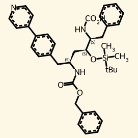 CC(C)(C)[Si](C)(C)O[C@@H](C[C@H](Cc1ccc(-c2ccncc2)cc1)NC(=O)OCc1ccccc1)[C@H](Cc1ccccc1)NC(=O)O